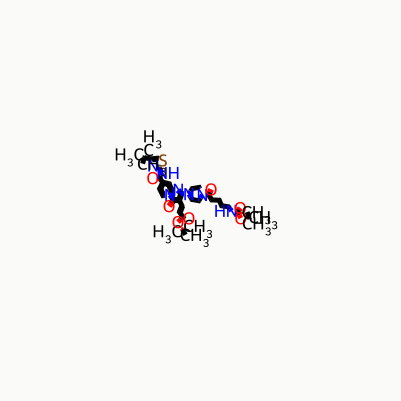 CC(C)(C)OC(=O)C=Cc1c(N2CCN(C(=O)CCCCNC(=O)OC(C)(C)C)CC2)nc2cc(C(=O)Nc3nc(C(C)(C)C)cs3)ccn2c1=O